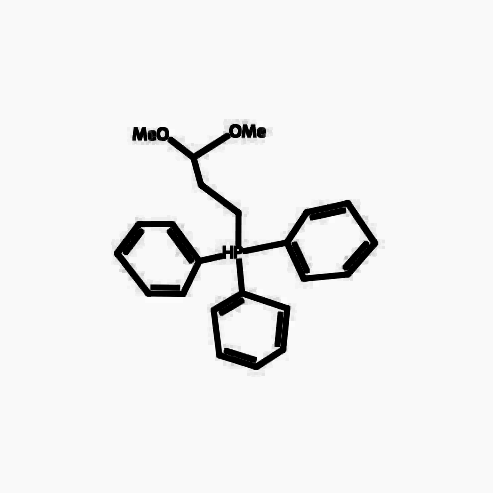 COC(CC[PH](c1ccccc1)(c1ccccc1)c1ccccc1)OC